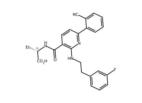 CC[C@H](NC(=O)c1ccc(-c2ccccc2C#N)nc1NCCc1cccc(F)c1)C(=O)O